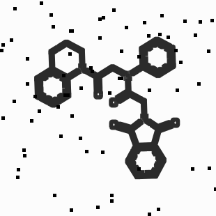 O=C1c2ccccc2C(=O)N1CC(=O)N(CC(=O)N1CCCc2ccccc21)c1ccccc1